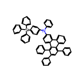 c1ccc(-c2cc(-c3ccccc3)c3c4ccccc4c4cc(N(c5ccccc5)c5ccc([Si](c6ccccc6)(c6ccccc6)c6ccccc6)cc5)ccc4c3c2-c2ccccc2)cc1